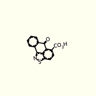 O=C(O)c1ccc2snc3c2c1C(=O)c1ccccc1-3